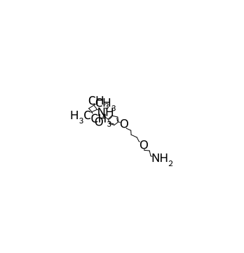 CC1(C)CC(C)(C)C1NC(=O)c1ccc(OCCCCCOCCCN)cc1